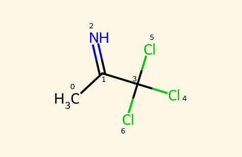 CC(=N)C(Cl)(Cl)Cl